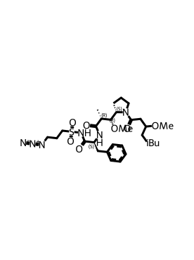 CCC(C)CC(CC(=O)N1CCC[C@H]1[C@H](OC)[C@@H](C)C(=O)N[C@@H](Cc1ccccc1)C(=O)NS(=O)(=O)CCCN=[N+]=[N-])OC